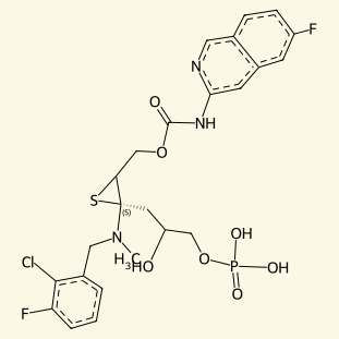 CN(Cc1cccc(F)c1Cl)[C@@]1(CC(O)COP(=O)(O)O)SC1COC(=O)Nc1cc2cc(F)ccc2cn1